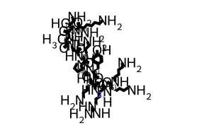 C[C@H](NC(=O)[C@@H](NC(=O)[C@@H](N)CCCCN)[C@@H](O)CN)C(=O)NCC(=O)N[C@H](CCCN)C(=O)N1CCC[C@H]1C(=O)N[C@@H](Cc1ccc(O)cc1)C(=O)N[C@@H](CCCCN)C(=O)N/C(=C\CCNC(=N)N)C(=O)N[C@@H](CCCCN)C(=O)NCCCCN